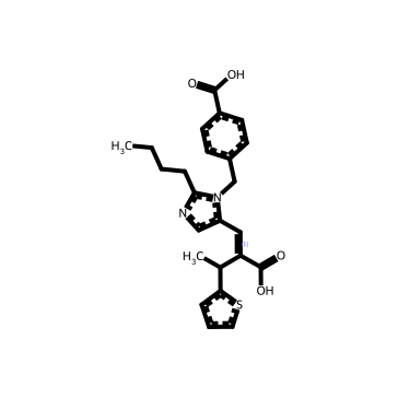 CCCCc1ncc(/C=C(/C(=O)O)C(C)c2cccs2)n1Cc1ccc(C(=O)O)cc1